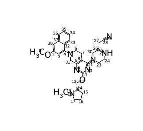 COc1cc(N2CCc3c(nc(OC[C@@H]4CCCN4C)nc3N3CCN[C@@H](CC#N)C3)C2)c2ccccc2c1